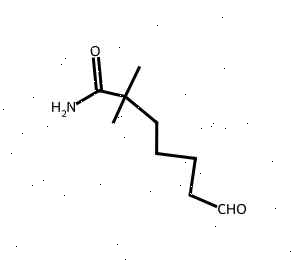 CC(C)(CCCCC=O)C(N)=O